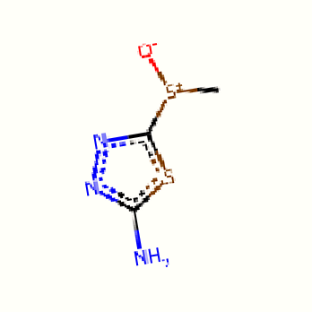 C[S+]([O-])c1nnc(N)s1